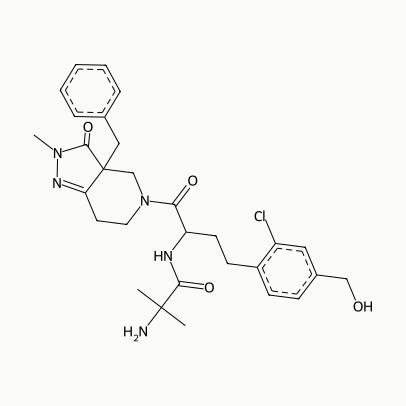 CN1N=C2CCN(C(=O)C(CCc3ccc(CO)cc3Cl)NC(=O)C(C)(C)N)CC2(Cc2ccccc2)C1=O